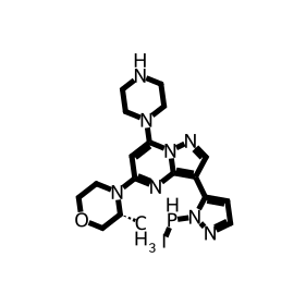 C[C@@H]1COCCN1c1cc(N2CCNCC2)n2ncc(-c3ccnn3PI)c2n1